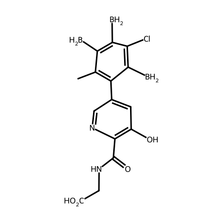 Bc1c(B)c(Cl)c(B)c(-c2cnc(C(=O)NCC(=O)O)c(O)c2)c1C